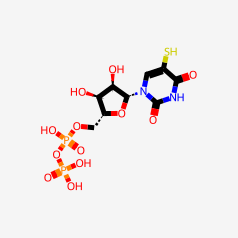 O=c1[nH]c(=O)n([C@@H]2O[C@H](COP(=O)(O)OP(=O)(O)O)[C@@H](O)[C@H]2O)cc1S